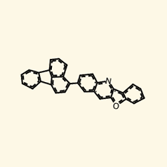 c1ccc2c(c1)-c1cccc3c(-c4ccc5nc6c(cc5c4)oc4ccccc46)ccc-2c13